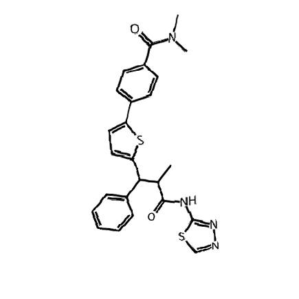 CC(C(=O)Nc1nncs1)C(c1ccccc1)c1ccc(-c2ccc(C(=O)N(C)C)cc2)s1